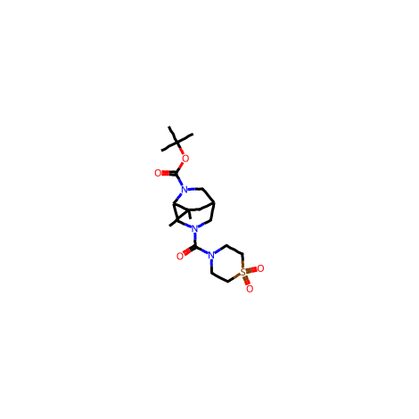 CC(C)(C)OC(=O)N1CC2CN(C(=O)N3CCS(=O)(=O)CC3)CC1C(C)(C)C2